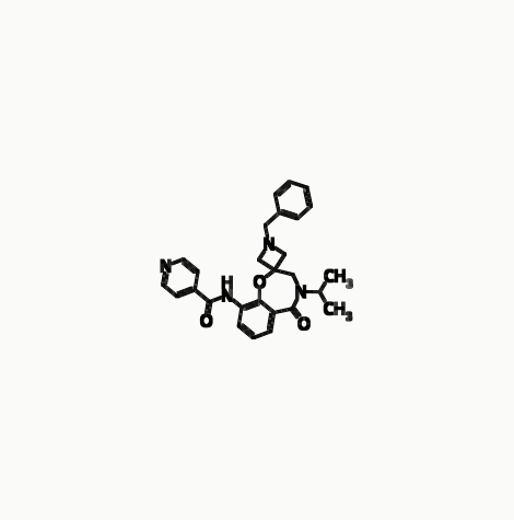 CC(C)N1CC2(CN(Cc3ccccc3)C2)Oc2c(NC(=O)c3ccncc3)cccc2C1=O